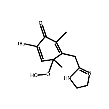 CC1=C(CC2=NCCN2)C(C)(OO)C=C(C(C)(C)C)C1=O